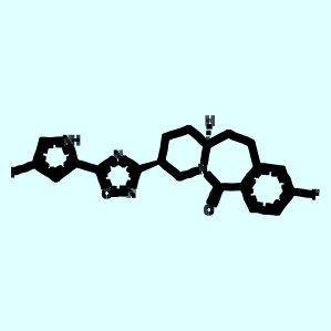 O=C1c2ccc(F)cc2CC[C@@H]2CC[C@H](c3noc(-c4cc(I)c[nH]4)n3)CN12